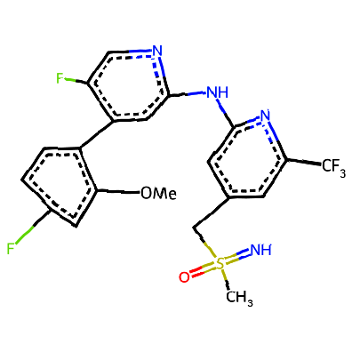 COc1cc(F)ccc1-c1cc(Nc2cc(CS(C)(=N)=O)cc(C(F)(F)F)n2)ncc1F